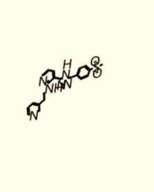 CS(=O)(=O)c1ccc(-c2nnc(-c3cccnc3NCCc3cccnc3)[nH]2)cc1